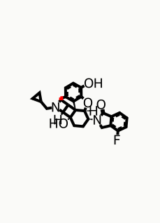 Cc1ccc(O)c2c1[C@]13C4CN(CC5CC5)[C@H]4[C@]1(O)CC[C@@H](N1Cc4c(F)cccc4C1=O)[C@@H]3O2